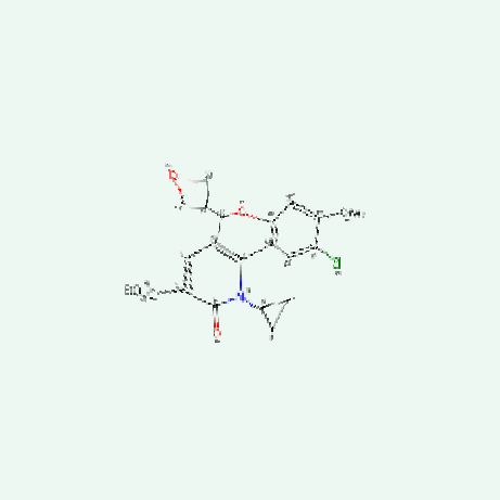 CCOC(=O)c1cc2c(n(C3CC3)c1=O)-c1cc(Cl)c(OC)cc1OC2C1COC1